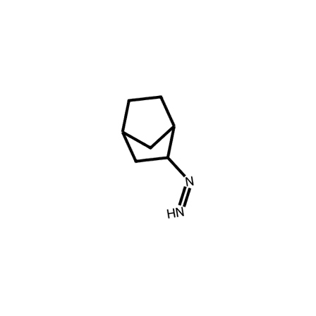 N=NC1CC2CCC1C2